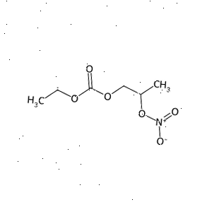 C[CH]OC(=O)OCC(C)O[N+](=O)[O-]